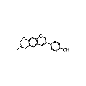 CN1COc2cc3c(cc2C1)C=C(c1ccc(O)cc1)CO3